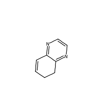 C1=Cc2nccnc2CC1